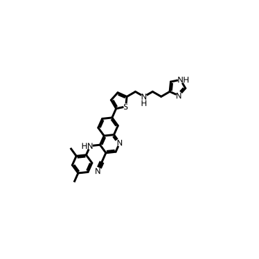 Cc1ccc(Nc2c(C#N)cnc3cc(-c4ccc(CNCCc5c[nH]cn5)s4)ccc23)c(C)c1